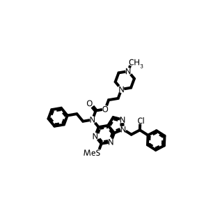 CSc1nc(N(CCc2ccccc2)C(=O)OCCN2CCN(C)CC2)c2cnn(CC(Cl)c3ccccc3)c2n1